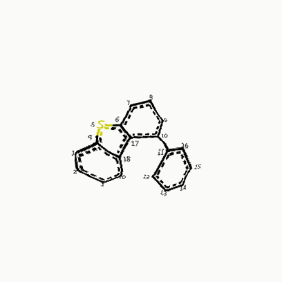 [c]1cccc2sc3cccc(-c4ccccc4)c3c12